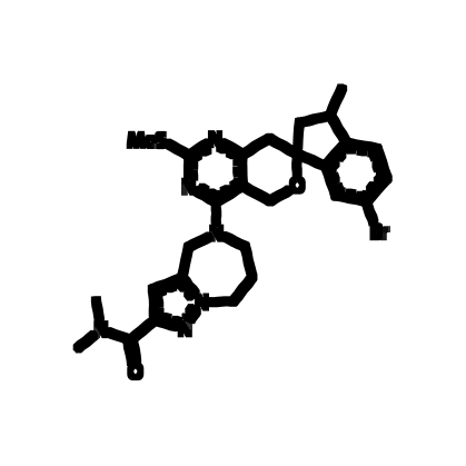 CSc1nc2c(c(N3CCCn4nc(C(=O)N(C)C)cc4C3)n1)COC1(C2)CC(C)c2ccc(Br)cc21